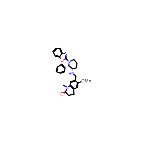 COc1cc2c(cc1CN[C@H]1CCCN(c3nc4ccccc4o3)[C@H]1c1ccccc1)N(C)C(=O)CC2